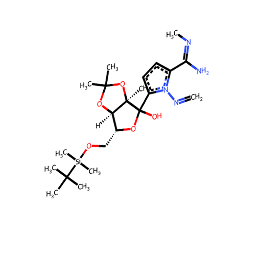 C=Nn1c(/C(N)=N\C)ccc1C1(O)O[C@H](CO[Si](C)(C)C(C)(C)C)[C@H]2OC(C)(C)O[C@]21C